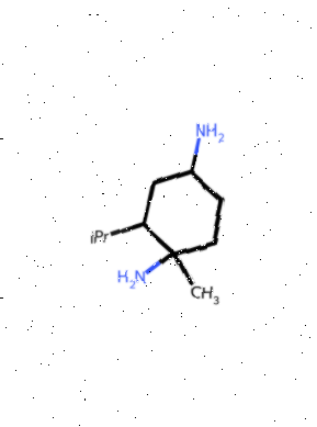 CC(C)C1CC(N)CCC1(C)N